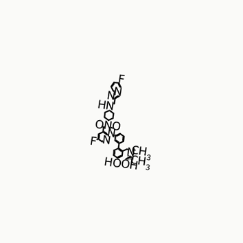 C[C@H](CO)N(C)Cc1cc(O)ccc1-c1cccc(-n2c(=O)n(C3CCC(NCc4cn5cc(F)ccc5n4)CC3)c(=O)c3cc(F)cnc32)c1